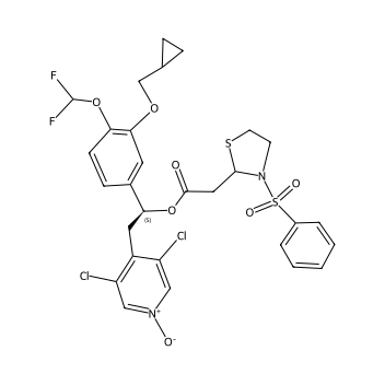 O=C(CC1SCCN1S(=O)(=O)c1ccccc1)O[C@@H](Cc1c(Cl)c[n+]([O-])cc1Cl)c1ccc(OC(F)F)c(OCC2CC2)c1